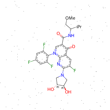 COCC(NC(=O)c1cn(-c2c(F)cc(F)cc2F)c2nc(N3C[C@@H](O)[C@H](O)C3)c(F)cc2c1=O)C(C)C